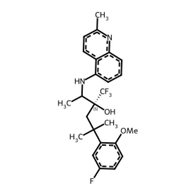 COc1ccc(F)cc1C(C)(C)C[C@](O)(C(C)Nc1cccc2nc(C)ccc12)C(F)(F)F